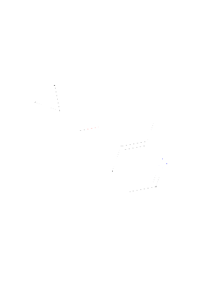 Cc1ccc(OCC2CC2)c(C)n1